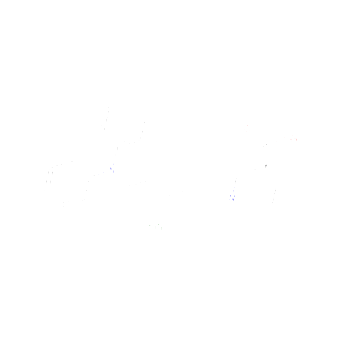 Cl.O=C(O)[C@@H]1CCCN(CCCCCN(c2ccccc2)c2ccccc2)C1